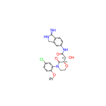 CC(C)Oc1ccc(Cl)cc1N1CCO[C@H]([C@@H](O)C(=O)Nc2ccc3c(c2)CNC3=N)C1=O